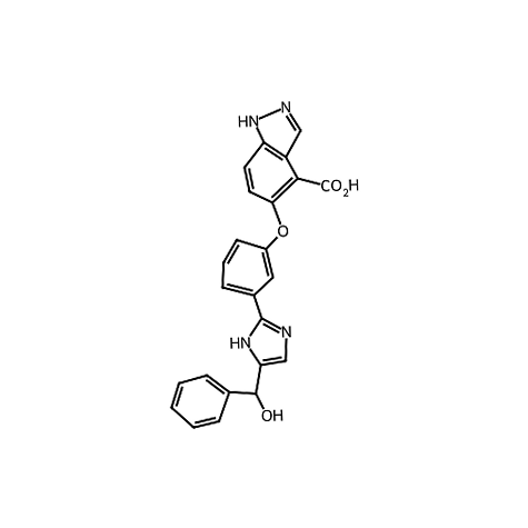 O=C(O)c1c(Oc2cccc(-c3ncc(C(O)c4ccccc4)[nH]3)c2)ccc2[nH]ncc12